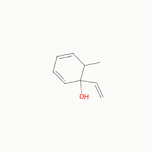 C=CC1(O)C=CC=CC1C